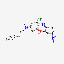 CN(CCCC(=O)O)c1ccc2nc3ccc(=[N+](C)C)cc-3oc2c1.[Cl-]